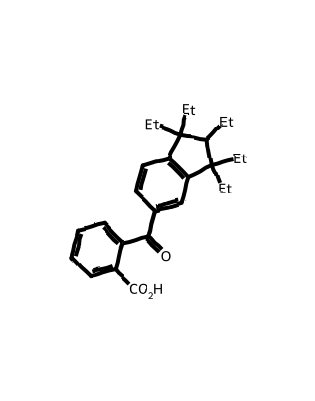 CCC1C(CC)(CC)c2ccc(C(=O)c3ccccc3C(=O)O)cc2C1(CC)CC